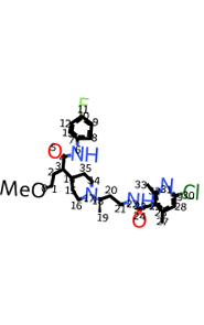 COCCC(C(=O)Nc1ccc(F)cc1)C1CCN([C@H](C)CCNC(=O)c2c(C)cc(Cl)nc2C)CC1